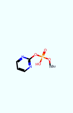 CCCCOP(=O)(O)Oc1ncccn1